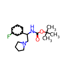 CC(C)(C)OC(=O)NC(CN1CCCC1)c1cccc(F)c1